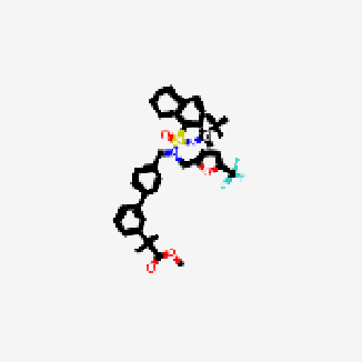 COC(=O)C(C)(C)c1cccc(-c2ccc(CN(Cc3ccc(C(F)(F)F)o3)S(=O)(=N[Si](C)(C)C(C)(C)C)c3cccc4ccccc34)cc2)c1